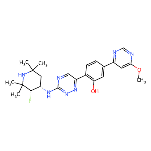 COc1cc(-c2ccc(-c3cnc(N[C@H]4CC(C)(C)NC(C)(C)[C@H]4F)nn3)c(O)c2)ncn1